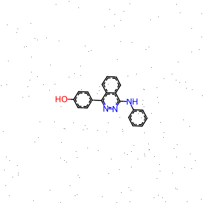 Oc1ccc(-c2nnc(Nc3ccccc3)c3ccccc23)cc1